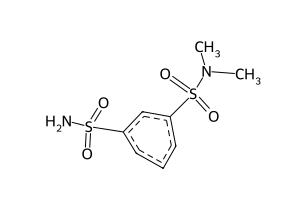 CN(C)S(=O)(=O)c1cccc(S(N)(=O)=O)c1